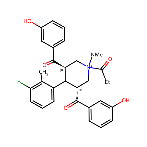 CCC(=O)[N+]1(NC)C[C@H](C(=O)c2cccc(O)c2)C(c2cccc(F)c2C)[C@@H](C(=O)c2cccc(O)c2)C1